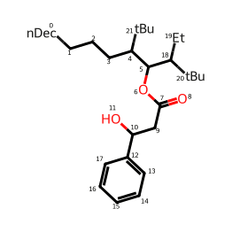 CCCCCCCCCCCCCC(C(OC(=O)CC(O)c1ccccc1)C(CC)C(C)(C)C)C(C)(C)C